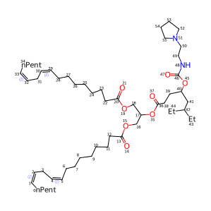 CCCCC/C=C\C/C=C\CCCCCCCC(=O)OCC(COC(=O)CCCCCCC/C=C\C/C=C\CCCCC)OC(=O)CCC(CC(CC)CC)OC(=O)NCCN1CCCC1